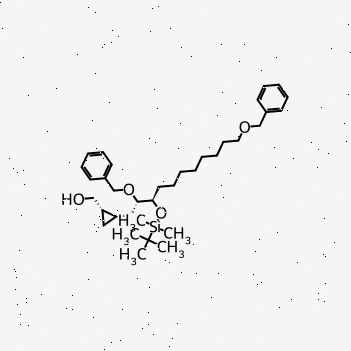 CC(C)(C)[Si](C)(C)O[C@H](CCCCCCCCOCc1ccccc1)[C@H](C[C@@H]1C[C@@H]1CO)OCc1ccccc1